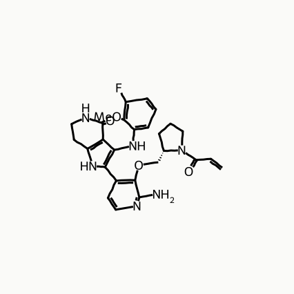 C=CC(=O)N1CCC[C@H]1COc1c(-c2[nH]c3c(c2Nc2cccc(F)c2OC)C(=O)NCC3)ccnc1N